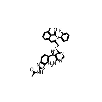 CC(=O)Nc1nc2ccc(-c3nn(Cc4cc5cccc(C)c5c(=O)n4-c4ccccc4F)c4ncnc(N)c34)cc2s1